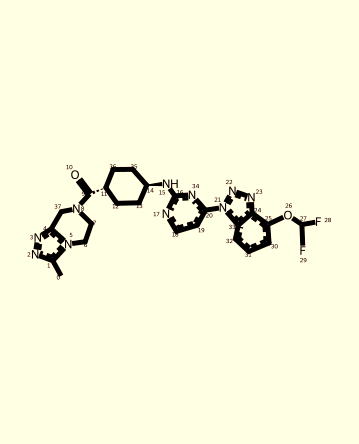 Cc1nnc2n1CCN(C(=O)[C@H]1CC[C@H](Nc3nccc(-n4nnc5c(OC(F)F)cccc54)n3)CC1)C2